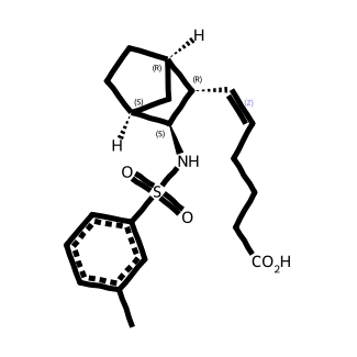 Cc1cccc(S(=O)(=O)N[C@H]2[C@H]3CC[C@H](C3)[C@@H]2/C=C\CCCC(=O)O)c1